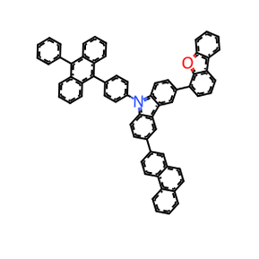 c1ccc(-c2c3ccccc3c(-c3ccc(-n4c5ccc(-c6ccc7c(ccc8ccccc87)c6)cc5c5cc(-c6cccc7c6oc6ccccc67)ccc54)cc3)c3ccccc23)cc1